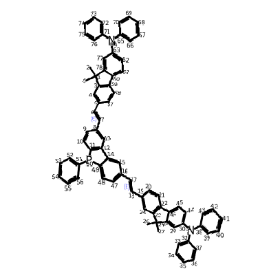 CC1(C)c2cc(/C=C/c3ccc4c(c3)c3cc(/C=C/c5ccc6c(c5)C(C)(C)c5cc(N(c7ccccc7)c7ccccc7)ccc5-6)ccc3p4-c3ccccc3)ccc2-c2ccc(N(c3ccccc3)c3ccccc3)cc21